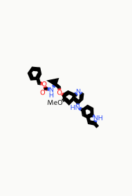 COc1cc2c(Nc3ccc4[nH]c(C)cc4c3)ccnc2cc1OCC1(NC(=O)OCc2ccccc2)CC1